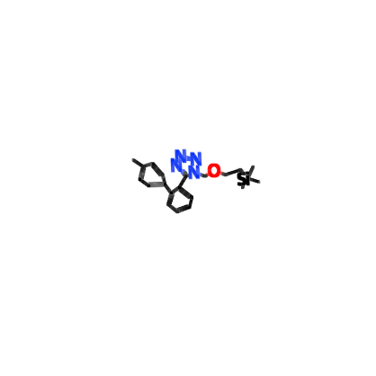 Cc1ccc(-c2ccccc2-c2nnnn2COCC[Si](C)(C)C)cc1